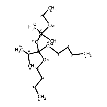 CCCCOC(OCCCC)(O[Si](C)(C)OCC)C(C)C